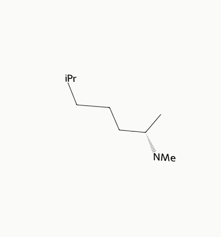 CN[C@@H](C)CCCC(C)C